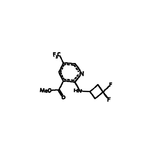 COC(=O)c1cc(C(F)(F)F)cnc1NC1CC(F)(F)C1